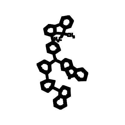 CC1(C)c2ccccc2-c2cccc(-c3ccc(N(c4cccc(-c5cccc(-c6cccc7ccccc67)c5)c4)c4ccc5c(c4)sc4ccccc45)cc3)c21